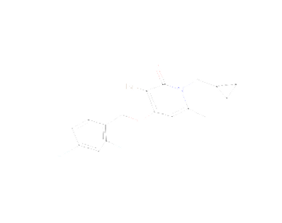 Cc1cc(OCc2ccc(F)cc2F)c(Br)c(=O)n1CC1CC1